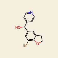 OC(c1ccncc1)c1cc(Br)c2c(c1)CCO2